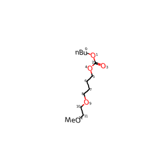 CCCCOC(=O)OCCCCOCCOC